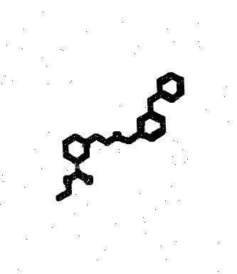 CCOC(=O)[C@@H]1CCCN(CCOCc2cccc(Cc3ccccc3)c2)C1